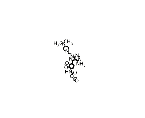 CN(C)C1CCN(CCn2nc(-c3ccc(NC(=O)OC4COC4)c4c3OCO4)c3c(N)ncnc32)CC1